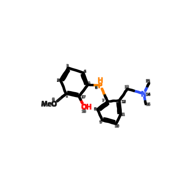 COc1cccc(Pc2ccccc2CN(C)C)c1O